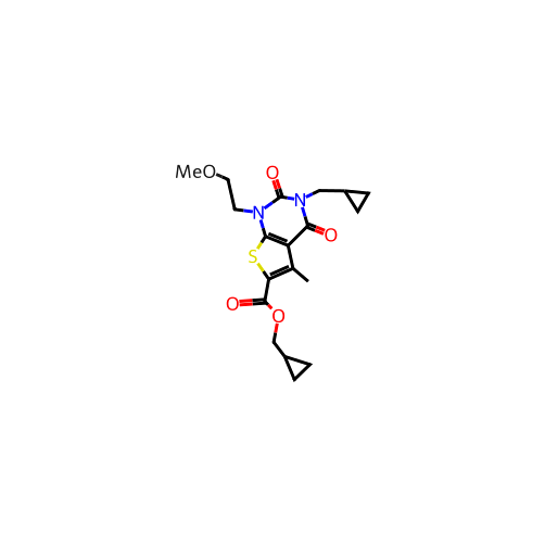 COCCn1c(=O)n(CC2CC2)c(=O)c2c(C)c(C(=O)OCC3CC3)sc21